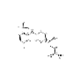 Cc1ccc(C(C)(C)C)c(OC2CCN(C(=O)CCC(=O)O)CC2)c1